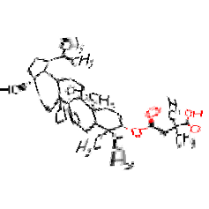 C#C[C@]12CC[C@@H](C(=C)C)C1C1CCC3[C@@]4(C)CC[C@H](OC(=O)CC(C)(C)C(=O)O)C(C)(C)C4CC[C@@]3(C)[C@]1(C)CC2